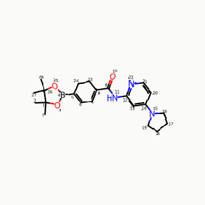 CC1(C)OB(C2=CC=C(C(=O)Nc3cc(N4CCCC4)ccn3)CC2)OC1(C)C